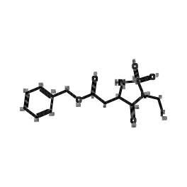 O=C(CC1NS(=O)(=O)N(CF)C1=O)OCc1ccccc1